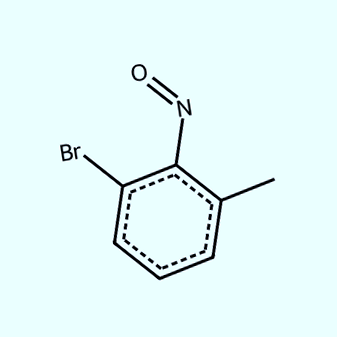 Cc1cccc(Br)c1N=O